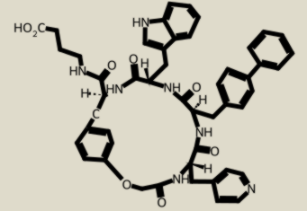 O=C(O)CCCNC(=O)[C@@H]1Cc2ccc(cc2)OCC(=O)N[C@@H](Cc2ccncc2)C(=O)N[C@H](Cc2ccc(-c3ccccc3)cc2)C(=O)N[C@@H](Cc2c[nH]c3ccccc23)C(=O)N1